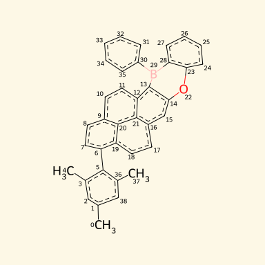 Cc1cc(C)c(-c2ccc3ccc4c5c(cc6ccc2c3c64)Oc2ccccc2B5c2ccccc2)c(C)c1